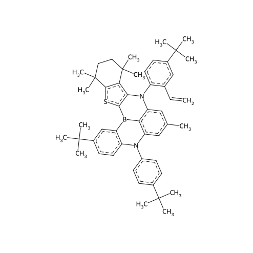 C=Cc1cc(C(C)(C)C)ccc1N1c2cc(C)cc3c2B(c2cc(C(C)(C)C)ccc2N3c2ccc(C(C)(C)C)cc2)c2sc3c(c21)C(C)(C)CCC3(C)C